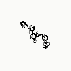 Cn1cc(-c2ccnc(NCc3ccccn3)c2)c2sc(CN3CCCN(C(=O)OC(C)(C)C)CC3)cc2c1=O